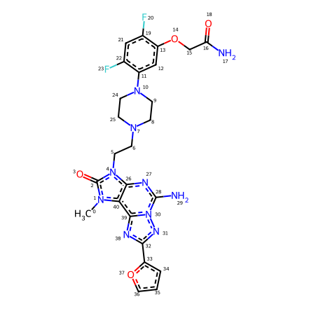 Cn1c(=O)n(CCN2CCN(c3cc(OCC(N)=O)c(F)cc3F)CC2)c2nc(N)n3nc(-c4ccco4)nc3c21